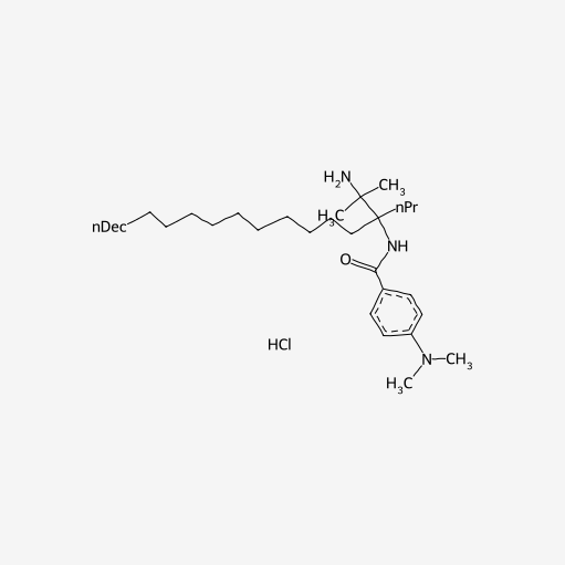 CCCCCCCCCCCCCCCCCCCCC(CCC)(NC(=O)c1ccc(N(C)C)cc1)C(C)(C)N.Cl